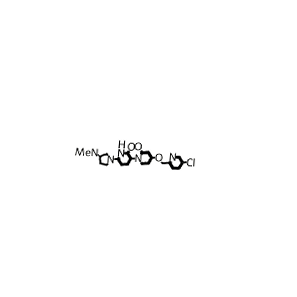 CN[C@@H]1CCN(c2ccc(-n3ccc(OCc4ccc(Cl)cn4)cc3=O)c(=O)[nH]2)C1